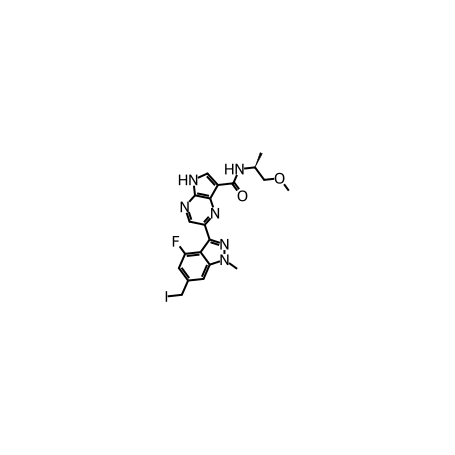 COC[C@H](C)NC(=O)c1c[nH]c2ncc(-c3nn(C)c4cc(CI)cc(F)c34)nc12